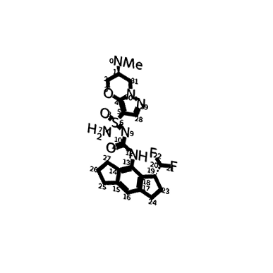 CN[C@@H]1COc2c([S@](N)(=O)=NC(=O)Nc3c4c(cc5c3[C@H](C(F)F)CC5)CCC4)cnn2C1